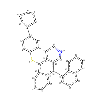 c1ccc(-c2ccc(Sc3c4ccccc4c(-c4cccc5ccccc45)c4cnccc34)cc2)cc1